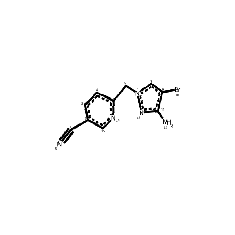 N#Cc1ccc(Cn2cc(Br)c(N)n2)nc1